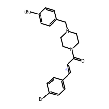 CC(C)(C)c1ccc(CN2CCN(C(=O)/C=C/c3ccc(Br)cc3)CC2)cc1